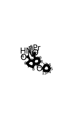 CCCNN1C(=O)c2cccc3c(Oc4ccccc4)ccc(c23)C1=O